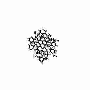 CCCCCCOc1ccccc1Oc1cc2c3c(cc(Oc4ccccc4OCCCCCC)c4c5c(Oc6ccccc6OCCCCCC)cc6c7c(cc(Oc8ccccc8OCCCCCC)c(c1c34)c75)C(=O)N(c1c(C(C)C)cccc1C(C)C)C6=O)C(=O)N(c1c(C(C)C)cccc1C(C)C)C2